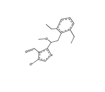 CCc1cccc(CC)c1CC(OC)c1ncc(Cl)n1C=O